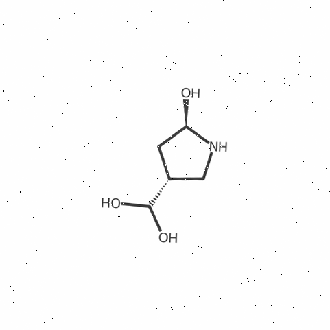 OC(O)[C@H]1CN[C@H](O)C1